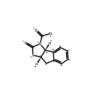 CCC(=O)N1C(=S)S[C@H]2Cc3ccccc3[C@H]21